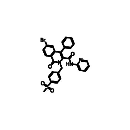 CS(=O)(=O)c1ccc(Cn2c(C(=O)Nc3ccccn3)c(-c3ccccc3)c3cc(Br)ccc3c2=O)cc1